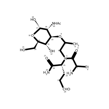 CCC(N)C(=O)N(CC(C)O[C@H]1[C@H](O)[C@@H](CO)O[C@H](O)[C@@H]1NC(C)=O)[C@H](CC[C]=O)C(N)=O